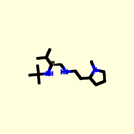 CC(C)[C@H](CNCCC1CCCN1C)NC(C)(C)C